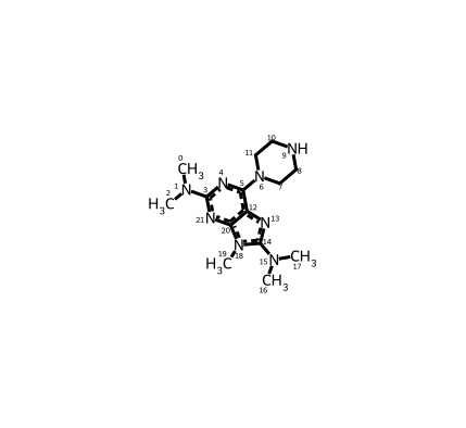 CN(C)c1nc(N2CCNCC2)c2nc(N(C)C)n(C)c2n1